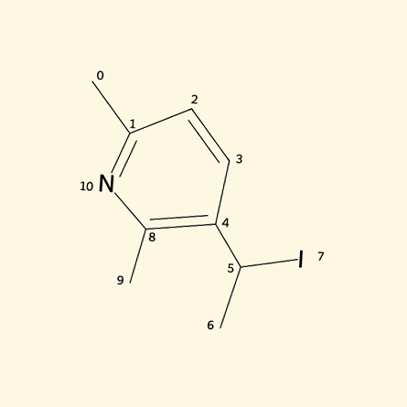 Cc1ccc(C(C)I)c(C)n1